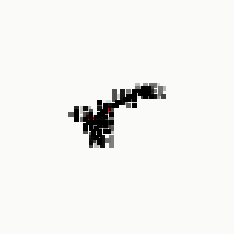 CCN1CCN(CCNC(=O)CCCCCNC(=O)c2ccc3c(c2)C(=O)OC32c3ccc(O)cc3Oc3cc(O)ccc32)CC1